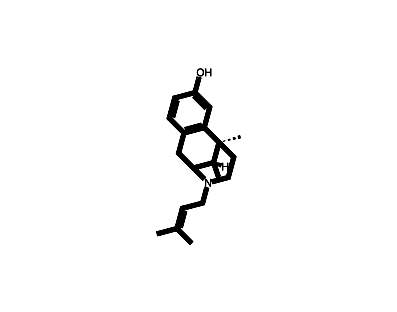 CC(C)=CCN1CC[C@]2(C)c3cc(O)ccc3CC1[C@H]2C